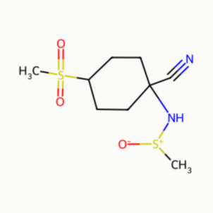 C[S+]([O-])NC1(C#N)CCC(S(C)(=O)=O)CC1